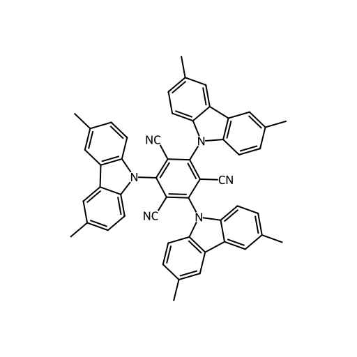 Cc1ccc2c(c1)c1cc(C)ccc1n2-c1c(C#N)c(-n2c3ccc(C)cc3c3cc(C)ccc32)c(C#N)c(-n2c3ccc(C)cc3c3cc(C)ccc32)c1C#N